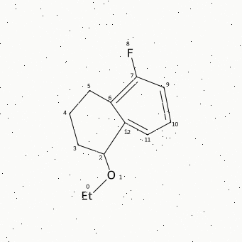 CCOC1CCCc2c(F)cccc21